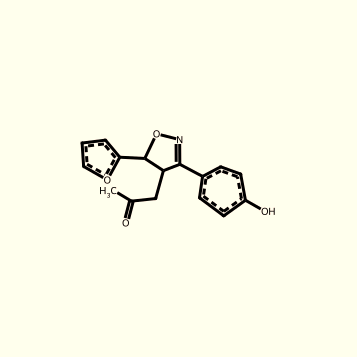 CC(=O)CC1C(c2ccc(O)cc2)=NOC1c1ccco1